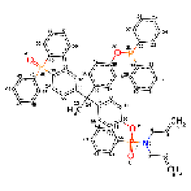 C=CCN(CC=C)P(=O)(Oc1ccc(C(C)(c2ccc(OP(c3ccccc3)c3ccccc3)cc2)c2ccc(P(=O)(c3ccccc3)c3ccccc3)cc2)cc1)c1ccccc1